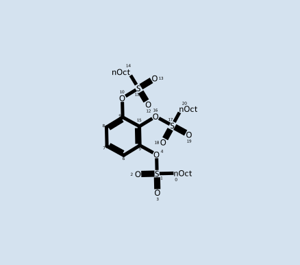 CCCCCCCCS(=O)(=O)Oc1cccc(OS(=O)(=O)CCCCCCCC)c1OS(=O)(=O)CCCCCCCC